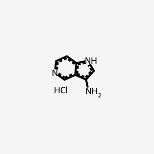 Cl.Nc1c[nH]c2ccncc12